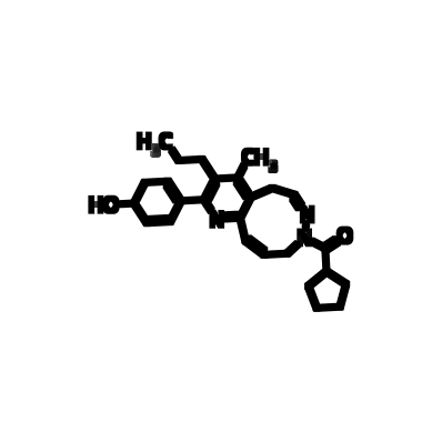 CCCc1c(C2=CCC(O)C=C2)nc2c(c1C)C/C=N\N(C(=O)C1CCCC1)C/C=C\2